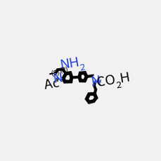 CC(=O)N1c2ccc(-c3ccc(CN(CCc4ccccc4)C(=O)O)cc3)cc2[C@H](N)C[C@@H]1C